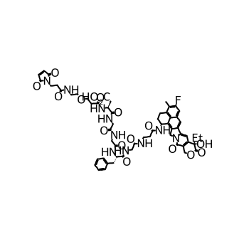 CC[C@@]1(O)C(=O)OCc2c1cc1n(c2=O)Cc2c-1cc1cc(F)c(C)c3c1c2[C@@H](NC(=O)CCNC(=O)CNC(=O)[C@H](Cc1ccccc1)NC(=O)CNC(=O)CNC(=O)[C@H](CC(=O)O)NC(=O)CCOCCNC(=O)CCN1C(=O)C=CC1=O)CC3